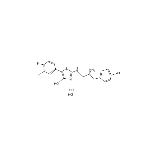 Cl.Cl.N[C@H](CNc1nc(O)c(-c2ccc(F)c(F)c2)s1)Cc1ccc(Cl)cc1